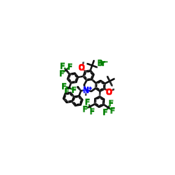 COc1c(C(C)(C)C)cc2c(c1-c1cc(C(F)(F)F)cc(C(F)(F)F)c1)C[N+](C)([C@H](C)c1cccc3ccccc13)Cc1c-2cc(C(C)(C)C)c(OC)c1-c1cc(C(F)(F)F)cc(C(F)(F)F)c1.[Br-]